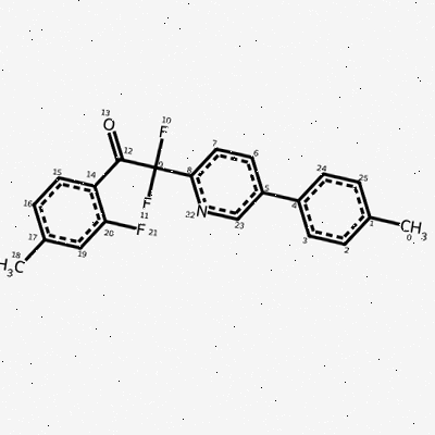 Cc1ccc(-c2ccc(C(F)(F)C(=O)c3ccc(C)cc3F)nc2)cc1